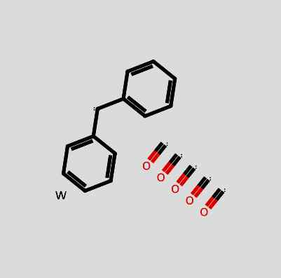 [C](c1ccccc1)c1ccccc1.[C]=O.[C]=O.[C]=O.[C]=O.[C]=O.[W]